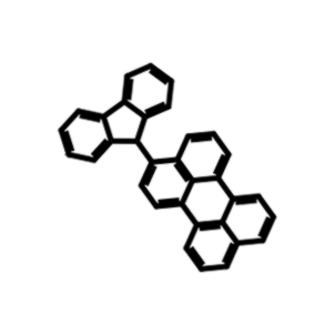 [c]1ccc2c(c1)C(c1ccc3c4cccc5cccc(c6cccc1c63)c54)c1ccccc1-2